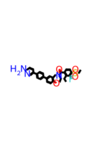 CCc1c(C(=O)N2CCOc3ccc(-c4ccc(-c5ccc(N)nc5)cc4)cc3C2)ccc(S(=O)(=O)CC)c1F